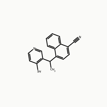 CC(c1cnccc1S)c1ccc(C#N)c2ccccc12